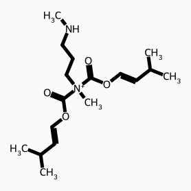 CNCCC[N+](C)(C(=O)OC=CC(C)C)C(=O)OC=CC(C)C